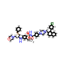 O=C(NS(=O)(=O)c1ccc(N[C@H](CCN2CCOCC2)CSc2ccccc2)cc1[N+](=O)[O-])c1ccc(N2CCN(Cc3ccc4ccccc4c3-c3ccc(Cl)cc3)CC2)cc1